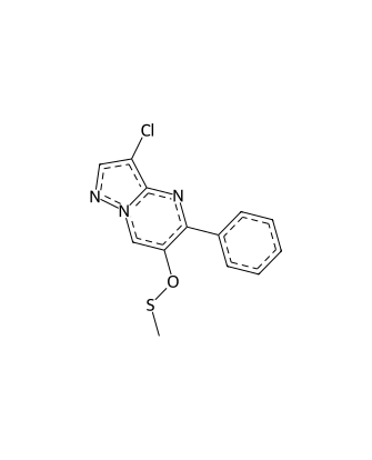 CSOc1cn2ncc(Cl)c2nc1-c1ccccc1